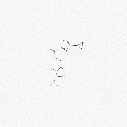 C[C@H]1CN(C(=O)c2[nH]nc(C3CC3)c2Cl)Cc2onc([C@@](C)(O)C(F)(F)F)c21